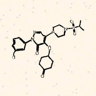 CC(C)S(=O)(=O)N1CCN(c2cnn(-c3cccc(Cl)c3)c(=O)c2OC2CCC(=O)CC2)CC1